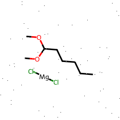 [CH2]CCCCC(OC)OC.[Cl][Mg][Cl]